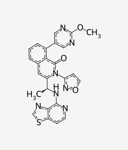 COc1ncc(-c2cccc3cc([C@H](C)Nc4nccc5scnc45)n(-c4ccon4)c(=O)c23)cn1